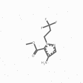 COC(=O)c1c(N)cnn1CCC(F)(F)F